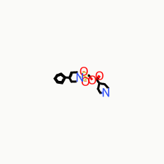 CN1CCC(C(=O)OCS(=O)(=O)N2CC=C(c3ccccc3)CC2)CC1